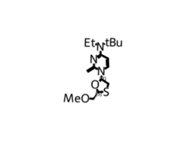 C=C1N=C(N(CC)C(C)(C)C)C=CN1[C@H]1CS[C@@H](COC)O1